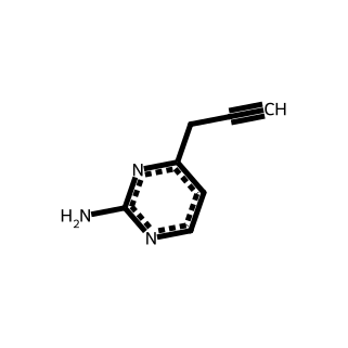 C#CCc1ccnc(N)n1